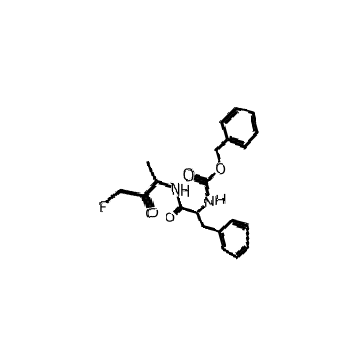 CC(NC(=O)C(Cc1ccccc1)NC(=O)OCc1ccccc1)C(=O)CF